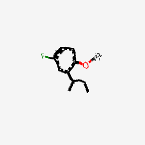 C=C[C](C)c1cc(F)ccc1OC(C)C